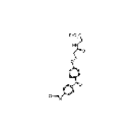 CCOC(=O)CNC(=O)CCOc1ccc(C(=O)c2ccc(N=C=O)cc2)cc1